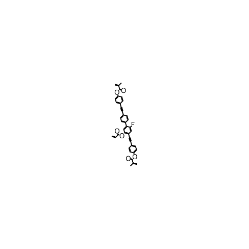 C=CC(=O)Oc1cc(-c2ccc(C#Cc3ccc(OC(=O)C(=C)C)cc3)cc2)c(F)cc1C#Cc1ccc(OC(=O)C(=C)C)cc1